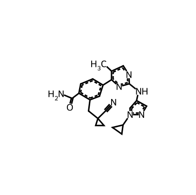 Cc1cnc(Nc2cnn(C3CC3)c2)nc1-c1ccc(C(N)=O)c(CC2(C#N)CC2)c1